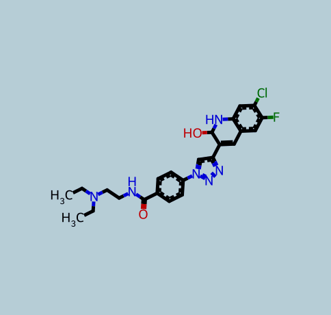 CCN(CC)CCNC(=O)c1ccc(-n2cc(C3=Cc4cc(F)c(Cl)cc4NC3O)nn2)cc1